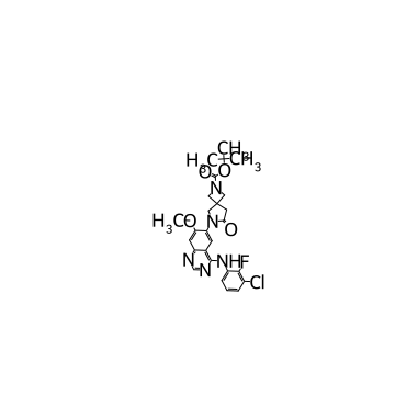 COc1cc2ncnc(Nc3cccc(Cl)c3F)c2cc1N1CC2(CC1=O)CN(C(=O)OC(C)(C)C)C2